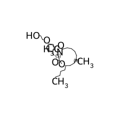 CCCCCC1CC[C@H](C)CCCCC(=O)N(C)[C@@H](Cc2ccc(OCCO)cc2)C(=O)O1